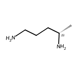 C[C@H](N)CCCN